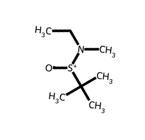 CCN(C)[S+]([O-])C(C)(C)C